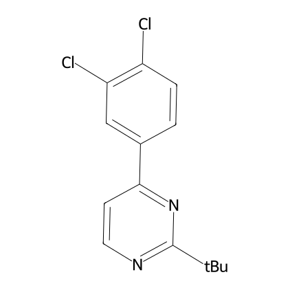 CC(C)(C)c1nccc(-c2ccc(Cl)c(Cl)c2)n1